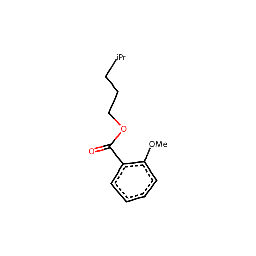 COc1ccccc1C(=O)OCCCC(C)C